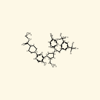 CCOC(=O)C1CCN(c2ncc(Cl)c(N3C[C@@H](N(Cc4cc(C(F)(F)F)cc(C(F)(F)F)c4)c4ncc(Br)cn4)C[C@H]3CC)n2)CC1